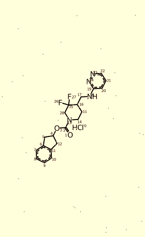 Cl.O=C(OC1Cc2ccccc2C1)N1CCC(CNc2cccnn2)C(F)(F)C1